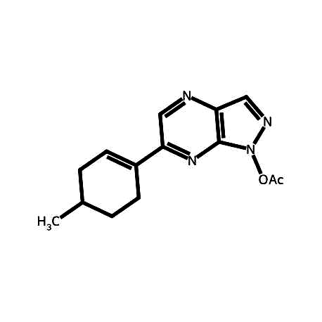 CC(=O)On1ncc2ncc(C3=CCC(C)CC3)nc21